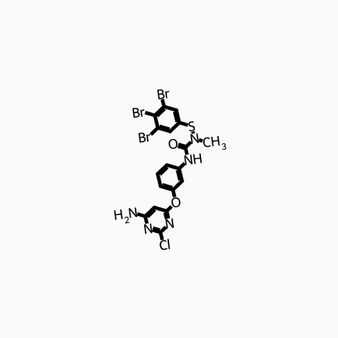 CN(Sc1cc(Br)c(Br)c(Br)c1)C(=O)Nc1cccc(Oc2cc(N)nc(Cl)n2)c1